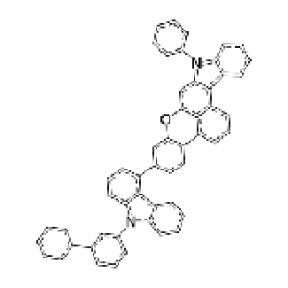 c1ccc(-c2cccc(-n3c4ccccc4c4c(-c5ccc6c(c5)Oc5cc7c(c8cccc-6c58)c5ccccc5n7-c5ccccc5)cccc43)c2)cc1